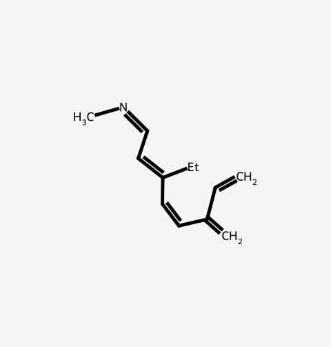 C=CC(=C)\C=C/C(=C/C=N\C)CC